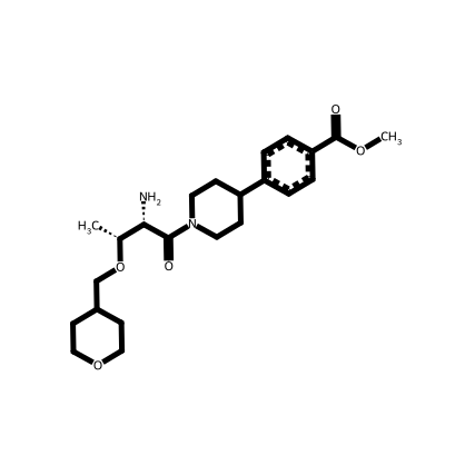 COC(=O)c1ccc(C2CCN(C(=O)[C@@H](N)[C@@H](C)OCC3CCOCC3)CC2)cc1